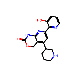 O=C1Nc2nc(-c3ncccc3O)cc(C3CCCNC3)c2CO1